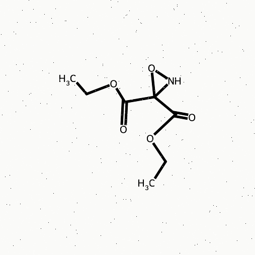 CCOC(=O)C1(C(=O)OCC)NO1